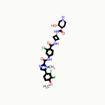 COc1ccc(-c2cnc(C(=O)Nc3ccc(C(=O)N[C@H]4C[C@@H](NC(=O)[C@H]5CCNC[C@H]5O)C4)c(Cl)c3)n2C)c(F)c1F